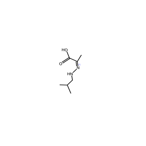 C/C(=N/NCC(C)C)C(=O)O